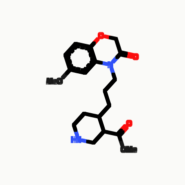 COC(=O)C1CNCCC1CCCN1C(=O)COc2ccc(OC)cc21